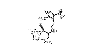 COC(=O)C(CC(C)C)NCCn1c([N+](=O)[O-])cnc1C